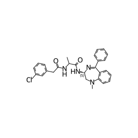 CC(NC(=O)Cc1cccc(Cl)c1)C(=O)N[C@@H]1CN(C)c2ccccc2C(c2ccccc2)=N1